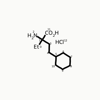 CCC(N)(CCC1CCCCC1)C(=O)O.Cl